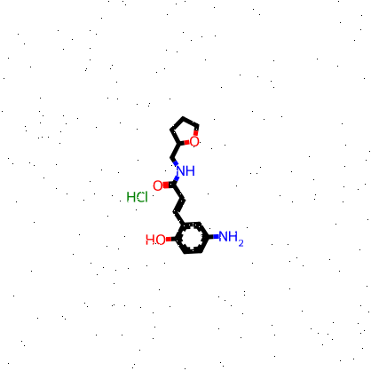 Cl.Nc1ccc(O)c(C=CC(=O)NCC2CCCO2)c1